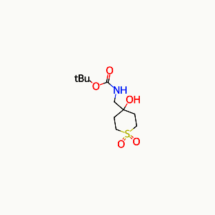 CC(C)(C)OC(=O)NCC1(O)CCS(=O)(=O)CC1